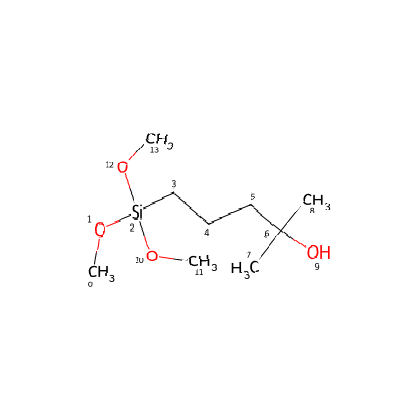 CO[Si](CCCC(C)(C)O)(OC)OC